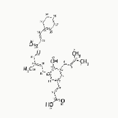 CC(C)=CCc1cc(/C=C/C(=O)O)cc(C/C=C(\C)COC(=O)C=CC2=CC=CCC2)c1O